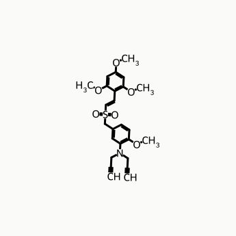 C#CCN(CC#C)c1cc(CS(=O)(=O)C=Cc2c(OC)cc(OC)cc2OC)ccc1OC